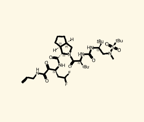 C=CCNC(=O)C(=O)[C@H](CC(F)F)NC(=O)[C@@H]1[C@H]2CCC[C@H]2CN1C(=O)[C@@H](NC(=O)N[C@H](CN(C)S(=O)(=O)C(C)(C)C)C(C)(C)C)C(C)(C)C